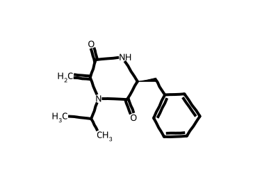 C=C1C(=O)N[C@@H](Cc2ccccc2)C(=O)N1C(C)C